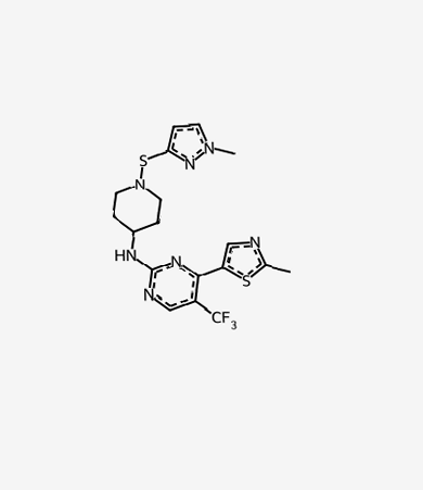 Cc1ncc(-c2nc(NC3CCN(Sc4ccn(C)n4)CC3)ncc2C(F)(F)F)s1